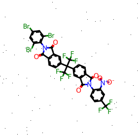 O=C1c2ccc(C(c3ccc4c(c3)C(=O)N(c3c(Br)cc(Br)cc3Br)C4=O)(C(F)(F)F)C(F)(F)F)cc2C(=O)N1c1ccc(C(F)(F)F)cc1[N+](=O)[O-]